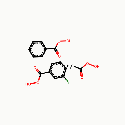 CC(=O)OO.O=C(OO)c1cccc(Cl)c1.O=C(OO)c1ccccc1